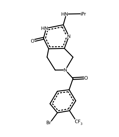 CC(C)Nc1nc2c(c(=O)[nH]1)CCN(C(=O)c1ccc(Br)c(C(F)(F)F)c1)C2